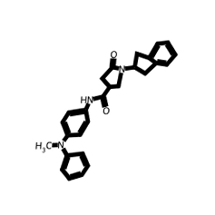 CN(c1ccccc1)c1ccc(NC(=O)C2CC(=O)N(C3Cc4ccccc4C3)C2)cc1